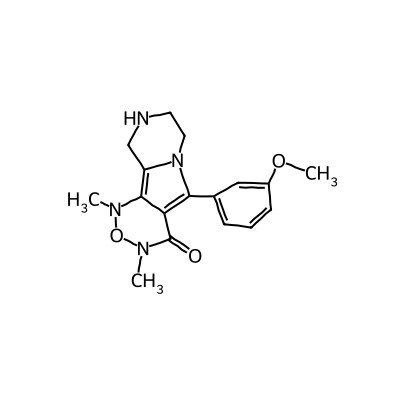 COc1cccc(-c2c3c(c4n2CCNC4)N(C)ON(C)C3=O)c1